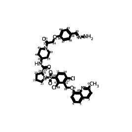 Cc1ccc2cccc(OCc3c(Cl)ccc(S(=O)(=O)N4CCC[C@H]4C(=O)NC4CCN(C(=O)COc5ccc(C=NN)cc5)CC4)c3Cl)c2n1